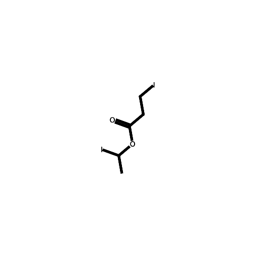 CC(I)OC(=O)CCI